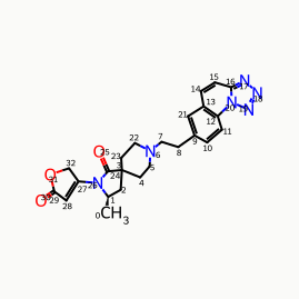 C[C@@H]1CC2(CCN(CCc3ccc4c(ccc5nnnn54)c3)CC2)C(=O)N1C1=CC(=O)OC1